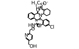 C[S+]([O-])N[C@H]1CCCCC1N1C(=O)c2ccccc2[C@@H](C(=O)NOCc2ccc(CO)cn2)[C@@H]1c1ccc(Cl)cc1Cl